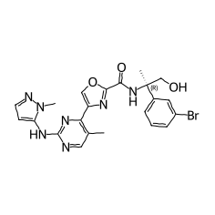 Cc1cnc(Nc2ccnn2C)nc1-c1coc(C(=O)N[C@@](C)(CO)c2cccc(Br)c2)n1